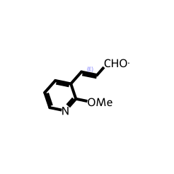 COc1ncccc1/C=C/[C]=O